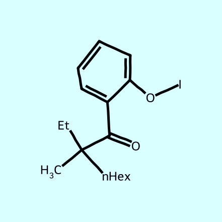 CCCCCCC(C)(CC)C(=O)c1ccccc1OI